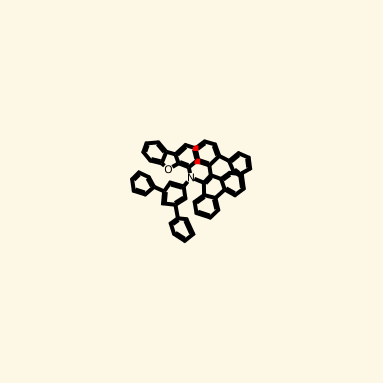 c1ccc(-c2cc(-c3ccccc3)cc(N(c3c(-c4ccccc4-c4ccccc4)c4ccccc4c4ccccc34)c3cccc4c3oc3ccccc34)c2)cc1